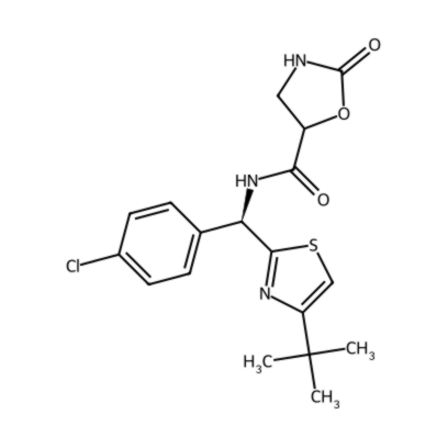 CC(C)(C)c1csc([C@H](NC(=O)C2CNC(=O)O2)c2ccc(Cl)cc2)n1